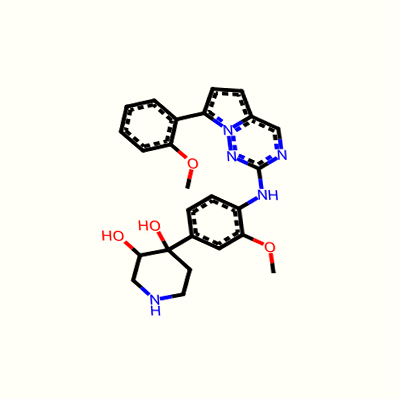 COc1cc(C2(O)CCNCC2O)ccc1Nc1ncc2ccc(-c3ccccc3OC)n2n1